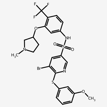 COc1cccc(Sc2ncc(S(=O)(=O)Nc3ccc(C(F)(F)F)c(OC4CCN(C)C4)c3)cc2Br)c1